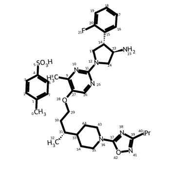 Cc1ccc(S(=O)(=O)O)cc1.Cc1nc(N2C[C@H](c3ccccc3F)[C@@H](N)C2)ncc1OCC[C@@H](C)C1CCN(c2nc(C(C)C)no2)CC1